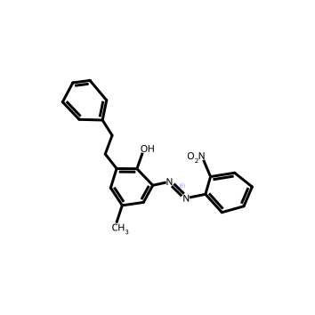 Cc1cc(CCc2ccccc2)c(O)c(/N=N/c2ccccc2[N+](=O)[O-])c1